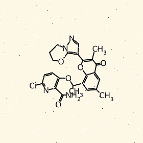 Cc1cc([C@@H](C)Oc2ccc(Cl)nc2C(N)=O)c2oc(-c3cnn4c3OCCC4)c(C)c(=O)c2c1